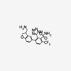 NCC1COc2ccc(-c3ccc(C(F)(F)F)c(S(N)(=O)=O)c3-c3nnn[nH]3)cc21